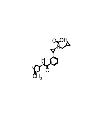 Cn1cc(NC(=O)c2cccc([C@@H]3C[C@H]3N(CC3CC3)C(=O)O)c2)cn1